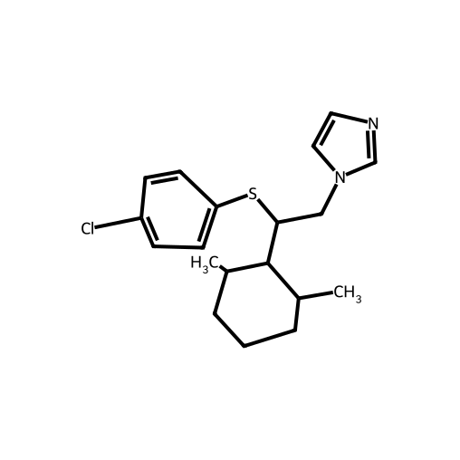 CC1CCCC(C)C1C(Cn1ccnc1)Sc1ccc(Cl)cc1